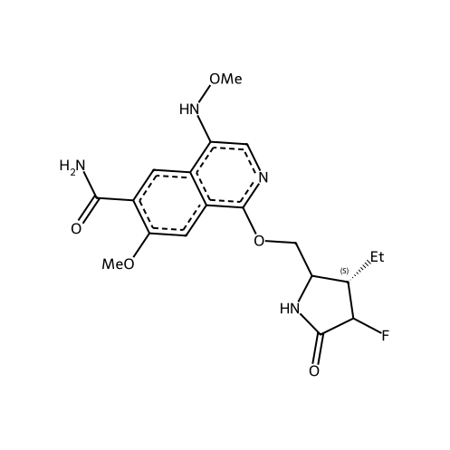 CC[C@H]1C(COc2ncc(NOC)c3cc(C(N)=O)c(OC)cc23)NC(=O)C1F